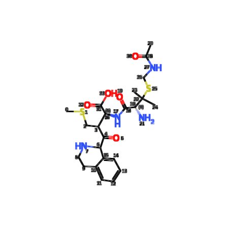 CSCC(C(=O)C1NCCc2ccccc21)[C@H](NC(=O)[C@@H](N)C(C)(C)SCNC(C)=O)C(=O)O